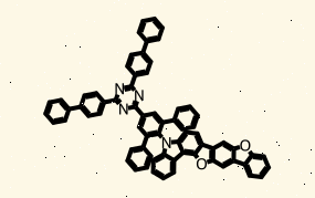 c1ccc(-c2ccc(-c3nc(-c4ccc(-c5ccccc5)cc4)nc(-c4cc(-c5ccccc5)c(-n5c6ccccc6c6c7oc8cc9c(cc8c7ccc65)oc5ccccc59)c(-c5ccccc5)c4)n3)cc2)cc1